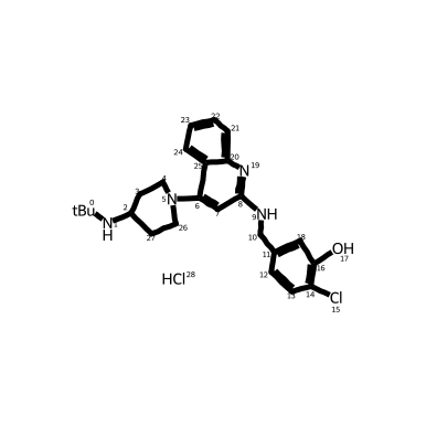 CC(C)(C)NC1CCN(c2cc(NCc3ccc(Cl)c(O)c3)nc3ccccc23)CC1.Cl